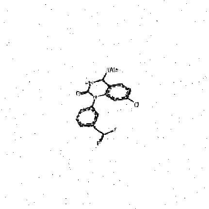 CNC1NC(=O)N(c2cccc(C(F)F)c2)c2cc(Cl)ccc21